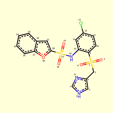 O=S(=O)(Cc1c[nH]cn1)c1ccc(Cl)cc1NS(=O)(=O)c1cc2ccccc2o1